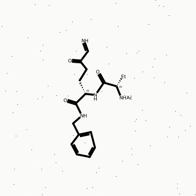 CC[C@H](NC(C)=O)C(=O)N[C@@H](CCC(=O)C=N)C(=O)NCc1ccccc1